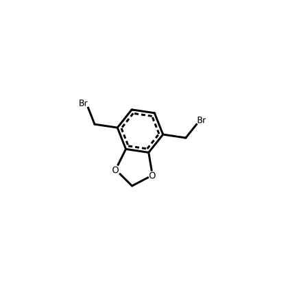 BrCc1ccc(CBr)c2c1OCO2